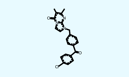 Cc1nc2n(Cc3ccc(C(=O)c4ccc(Cl)cc4)cc3)ccn2c(=O)c1C